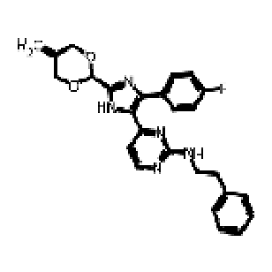 C=C1COC(c2nc(-c3ccc(F)cc3)c(-c3ccnc(NCCc4ccccc4)n3)[nH]2)OC1